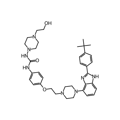 CC(C)(C)c1ccc(-c2nc3c(N4CCN(CCOc5ccc(NC(=O)NN6CCN(CCO)CC6)cc5)CC4)cccc3[nH]2)cc1